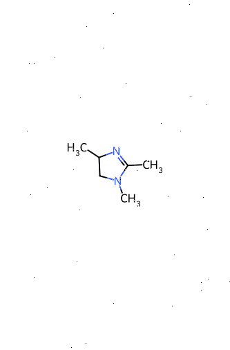 CC1=NC(C)CN1C